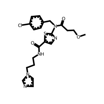 COCCC(=O)N(Cc1ccc(Cl)cc1)c1ncc(C(=O)NCCCn2ccnc2)s1